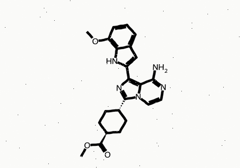 COc1cccc2cc(-c3nc([C@H]4CC[C@H](C(=O)OC)CC4)n4ccnc(N)c34)[nH]c12